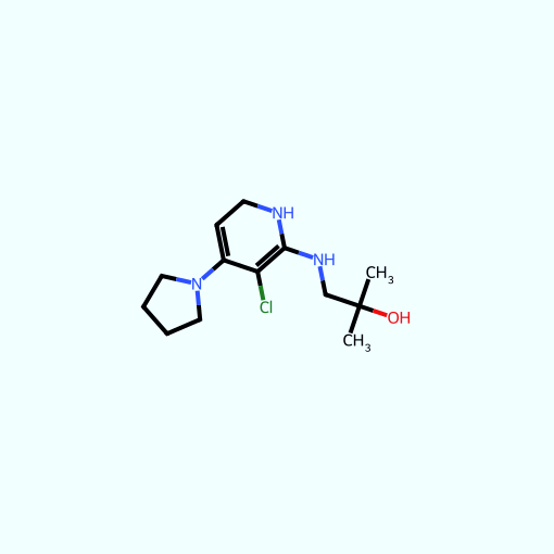 CC(C)(O)CNC1=C(Cl)C(N2CCCC2)=CCN1